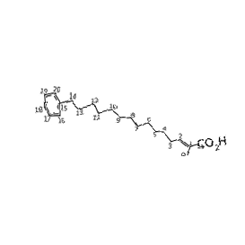 CC(=CCCCCCCCCCCCCc1ccccc1)C(=O)O